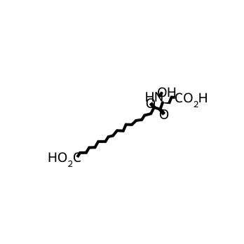 O=C(O)CCCCCCCCCCCCCCCCC(=O)C(=O)[C@H](CCC(=O)O)NO